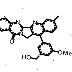 COc1cc(CO)cc(-c2c3c(nc4cc(C)ccc24)-c2nc4ccccc4c(=O)n2C3)c1